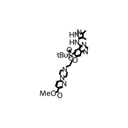 COC(=O)c1ccc(N2CCN(CCCOc3cc4ncnc(Nc5[nH]nc(C)c5C)c4cc3S(=O)(=O)C(C)(C)C)CC2)nc1